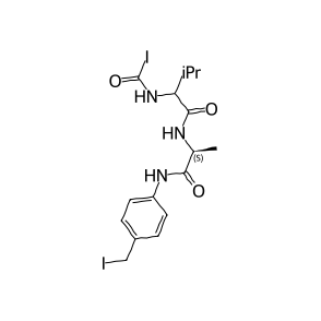 CC(C)C(NC(=O)I)C(=O)N[C@@H](C)C(=O)Nc1ccc(CI)cc1